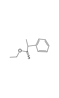 CCOC(=S)C(C)c1ccccc1